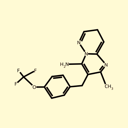 CC1=NC2=CCC=NN2C(N)=C1Cc1ccc(OC(F)(F)F)cc1